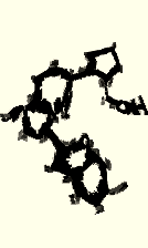 OC[C@H]1CCCC1c1ccc2ncc(-c3cc4ccccc4o3)n2n1